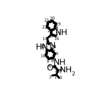 CC(C)[C@H](N)C(=O)Nc1ccc2[nH]c(Cc3c[nH]c4ccccc34)nc2c1